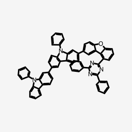 c1ccc(-c2nc(-c3ccccc3)nc(-c3cccc4oc5ccc(-c6ccc7c8cc(-c9ccc%10c%11ccccc%11n(-c%11ccccc%11)c%10c9)ccc8n(-c8ccccc8)c7c6)cc5c34)n2)cc1